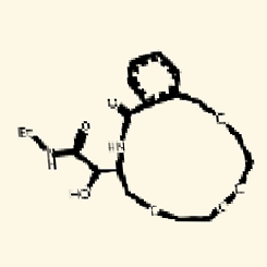 CCNC(=O)C(O)[C@@H]1CCCCCCCCCCc2ccccc2C(=O)N1